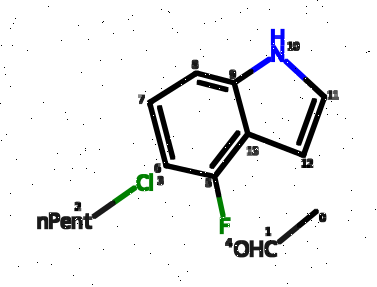 CC=O.CCCCCCl.Fc1cccc2[nH]ccc12